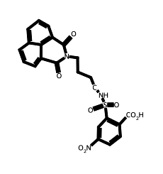 O=C(O)c1ccc([N+](=O)[O-])cc1S(=O)(=O)NCCCCN1C(=O)c2cccc3cccc(c23)C1=O